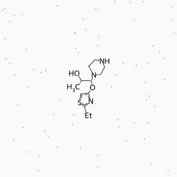 CCc1nc(OC(C(C)O)N2CCNCC2)cs1